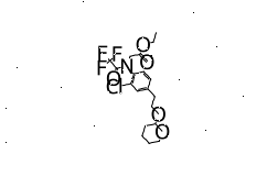 CCOC(=O)CN(C(=O)C(F)(F)F)c1ccc(CCOC2CCCCO2)cc1Cl